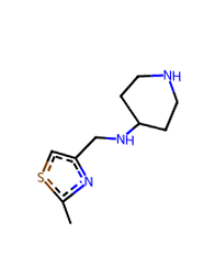 Cc1nc(CNC2CCNCC2)cs1